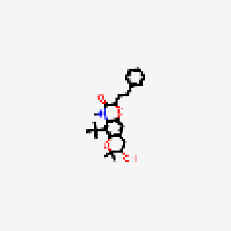 CN1C(=O)C(CCc2ccccc2)Oc2cc3c(c(C(C)(C)C)c21)OC(C)(C)[C@H](O)[CH]3